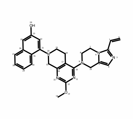 C=Cc1ncc2n1CCN(c1nc(OC)nc3c1CCN(c1cc(O)cc4ccccc14)C3)C2